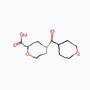 O=C(O)C1CN(C(=O)C2CCOCC2)CCO1